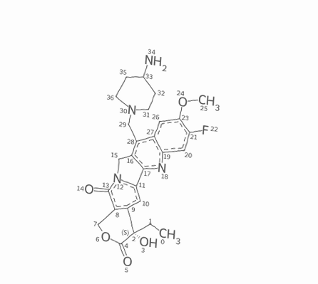 CC[C@@]1(O)C(=O)OCc2c1cc1n(c2=O)Cc2c-1nc1cc(F)c(OC)cc1c2CN1CCC(N)CC1